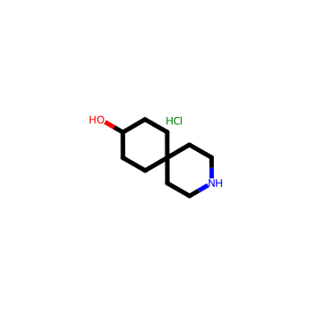 Cl.OC1CCC2(CCNCC2)CC1